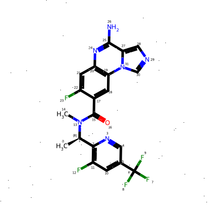 C[C@H](c1ncc(C(F)(F)F)cc1F)N(C)C(=O)c1cc2c(cc1F)nc(N)c1cncn12